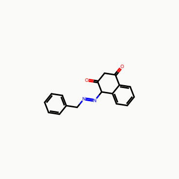 O=C1CC(=O)C(N=NCc2ccccc2)c2ccccc21